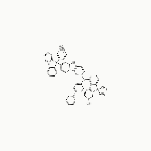 C#C/C=C\C(=C/C)C1(c2ccc3c4c(oc3c2)C=CC(N(C2=CC=C(c3ccccc3)CC2)c2cccc3c2C2=C(CC(C)C=C2)C3(C)C)C4)c2ccccc2-c2ccccc21